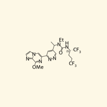 CCN(C(=O)N[C@@H](CCC(F)(F)F)C(F)(F)F)C(C)c1cnnc(-c2cn3ccnc3c(OC)n2)c1